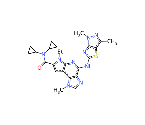 CCn1c(C(=O)N(C2CC2)C2CC2)cc2c3c(ncn3C)c(Nc3nc4c(s3)c(C)nn4C)nc21